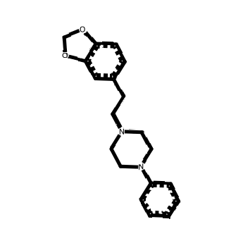 c1ccc(N2CCN(CCc3ccc4c(c3)OCO4)CC2)cc1